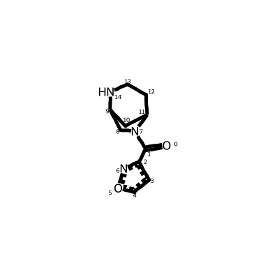 O=C(c1ccon1)N1CC2CC1CCN2